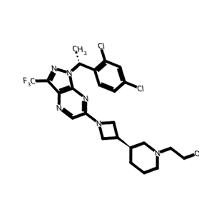 C[C@H](c1ccc(Cl)cc1Cl)n1nc(C(F)(F)F)c2ncc(N3CC([C@@H]4CCCN(CCO)C4)C3)nc21